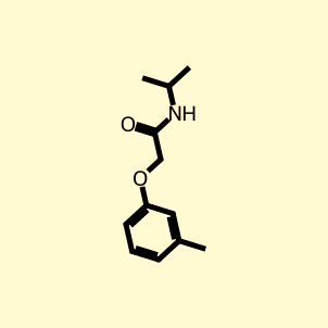 Cc1cccc(OCC(=O)NC(C)C)c1